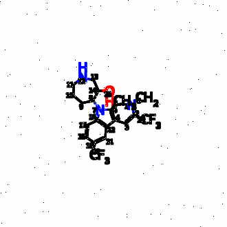 C=N/C(=C\c1c(C)n([C@@H]2CCCNC[C@H]2O)c2ccc(C(F)(F)F)cc12)C(F)(F)F